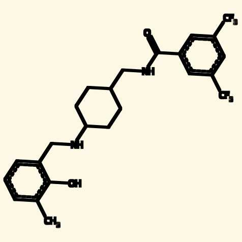 Cc1cccc(CNC2CCC(CNC(=O)c3cc(C(F)(F)F)cc(C(F)(F)F)c3)CC2)c1O